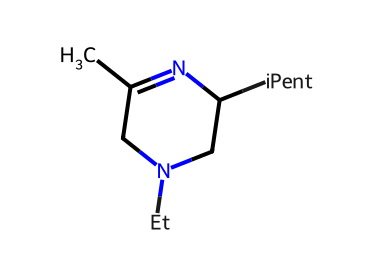 CCCC(C)C1CN(CC)CC(C)=N1